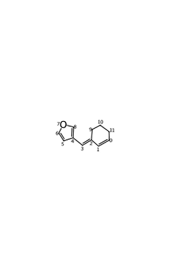 C1=C/C(=C/c2ccoc2)CCC1